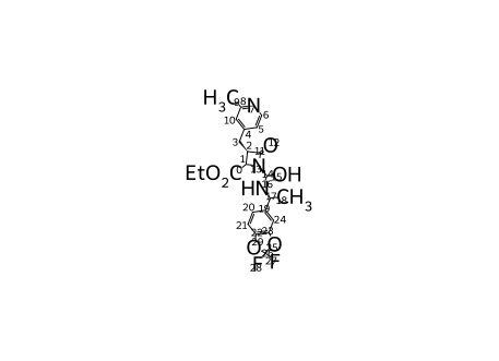 CCOC(=O)C1[C@@H](Cc2ccnc(C)c2)C(=O)N1C(O)NC(C)c1ccc2c(c1)OC(F)(F)O2